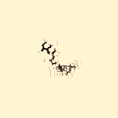 O=c1cc(F)[nH]c2nc(=S)n([C@@H]3O[C@H](COP(=O)(O)OP(=O)(O)OP(=O)(O)O)C(O)[C@@H]3O)cc12